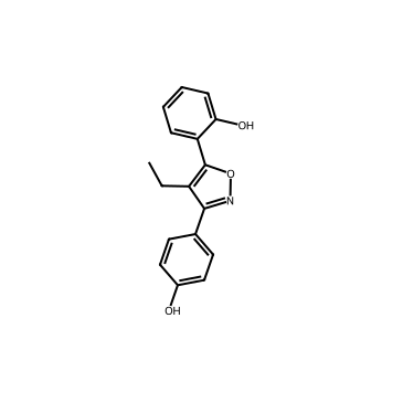 CCc1c(-c2ccc(O)cc2)noc1-c1ccccc1O